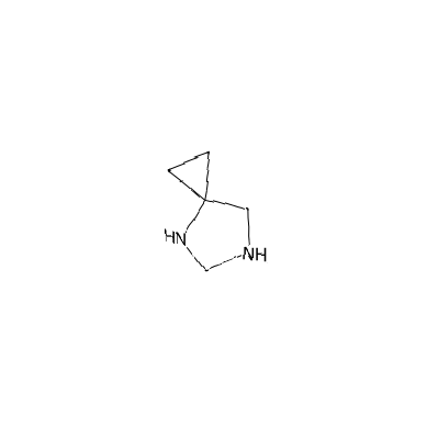 C1NCC2(CC2)N1